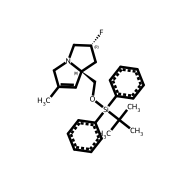 CC1=C[C@@]2(CO[Si](c3ccccc3)(c3ccccc3)C(C)(C)C)C[C@@H](F)CN2C1